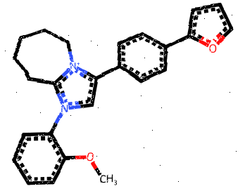 COc1ccccc1-n1cc(-c2ccc(-c3ccco3)cc2)[n+]2c1CCCCC2